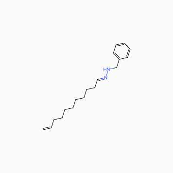 C=CCCCCCCCCC=NNCc1ccccc1